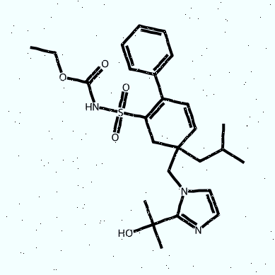 CCOC(=O)NS(=O)(=O)C1=C(c2ccccc2)C=CC(CC(C)C)(Cn2ccnc2C(C)(C)O)C1